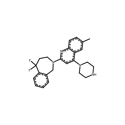 Cc1ccc2nc(N3CCC(F)(F)c4ccccc4C3)cc(N3CCNCC3)c2c1